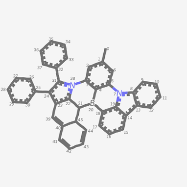 Cc1cc2c3c(c1)-n1c4ccccc4c4cccc(c41)B3C1c3c(c(-c4ccccc4)c(-c4ccccc4)n3-2)C=C2C=CC=CC21